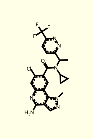 CC(c1ccc(C(F)(F)F)nn1)N(C(=O)c1cc2c(cc1Cl)nc(N)c1cnn(C)c12)C1CC1